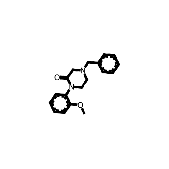 COc1ccccc1N1CCN(Cc2ccccc2)CC1=O